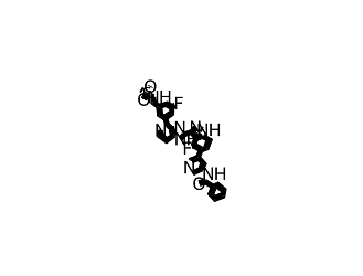 CS(=O)(=O)NCc1cc(F)cc(-c2nccc3[nH]c(-c4n[nH]c5ccc(-c6cncc(NC(=O)c7ccccc7)c6)c(F)c45)nc23)c1